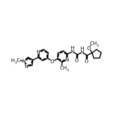 COC1(C(=O)NC(=O)Nc2ccc(Oc3ccnc(-c4cnn(C)c4)c3)c(C)n2)CCCC1